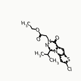 CCOC(=O)Cn1nc(C(C)C)n2c(cc3sc(Cl)cc32)c1=O